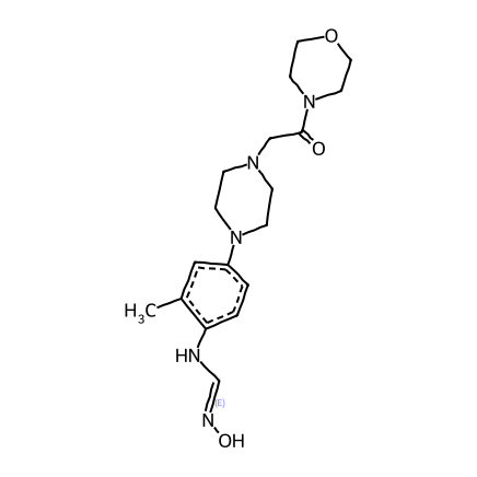 Cc1cc(N2CCN(CC(=O)N3CCOCC3)CC2)ccc1N/C=N/O